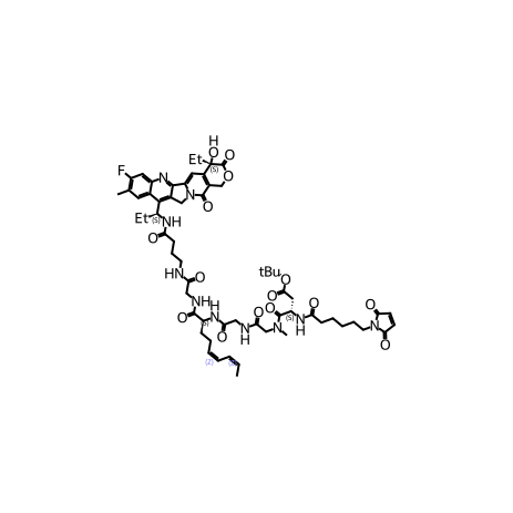 C/C=C\C=C/CC[C@H](NC(=O)CNC(=O)CN(C)C(=O)[C@H](CC(=O)OC(C)(C)C)NC(=O)CCCCCN1C(=O)C=CC1=O)C(=O)NCC(=O)NCCCC(=O)N[C@@H](CC)c1c2c(nc3cc(F)c(C)cc13)-c1cc3c(c(=O)n1C2)COC(=O)[C@]3(O)CC